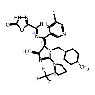 C=c1nc(N2CCC[C@H]2C(F)(F)F)n(C[C@H]2CC[C@H](C)CC2)/c1=C(/N=C(\N)c1n[nH]c(=O)o1)c1cncc(Cl)c1